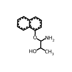 CC(O)C(N)Oc1cccc2ccccc12